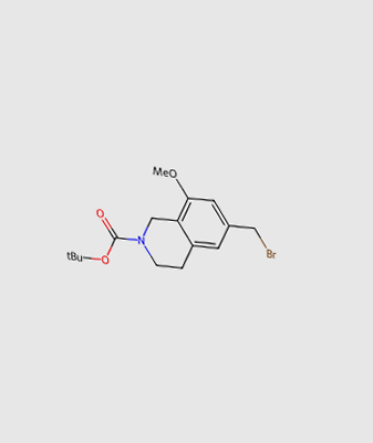 COc1cc(CBr)cc2c1CN(C(=O)OC(C)(C)C)CC2